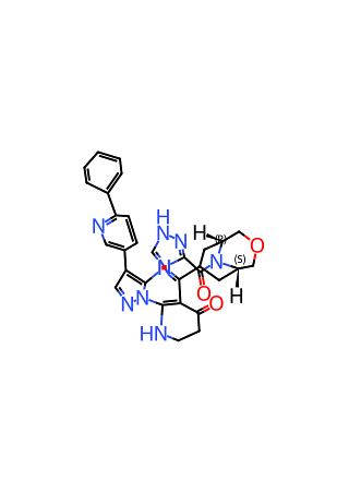 O=C1CCNc2c1c(C1C[C@H]3COC[C@@H](C1)N3C(=O)c1nc[nH]n1)nc1c(-c3ccc(-c4ccccc4)nc3)cnn21